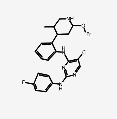 CC(C)OC1CC(c2ccccc2Nc2nc(Nc3ccc(F)cc3)ncc2Cl)C(C)CN1